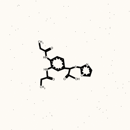 CCC(=O)Nc1ccc(C(Sc2ncco2)C(=O)O)cc1NC(=O)CC